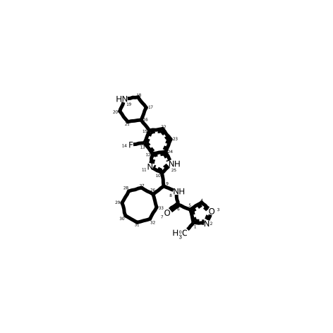 Cc1nocc1C(=O)NC(c1nc2c(F)c(C3CCNCC3)ccc2[nH]1)C1CCCCCCC1